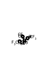 C[C@H](c1cccc(C(F)(F)F)n1)N(C)C1=CC(c2cccc(OC(F)(F)F)c2)N(c2ccc(OC(F)(F)F)cc2)C1=O